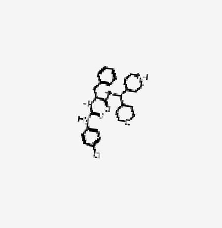 O=C(Nc1ccc(Cl)cc1)NC(Cc1ccccc1)C(=O)NC(C1CCNCC1)C1CCOCC1